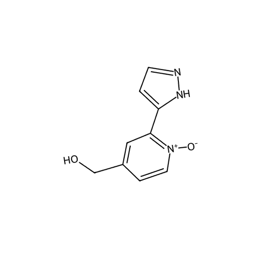 [O-][n+]1ccc(CO)cc1-c1ccn[nH]1